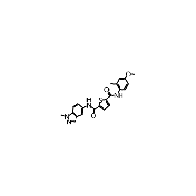 COc1ccc(NC(=O)c2ccc(C(=O)Nc3ccc4c(cnn4C)c3)s2)c(C)c1